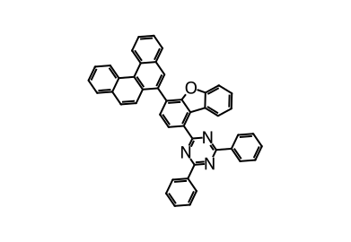 c1ccc(-c2nc(-c3ccccc3)nc(-c3ccc(-c4cc5ccccc5c5c4ccc4ccccc45)c4oc5ccccc5c34)n2)cc1